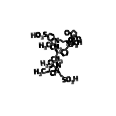 C\C=C(Cl)/C=C1\C(=N\CCCS(=O)(=O)O)N=C(/C=C/C(=C/C=C2/N(CCCS(=O)(=O)O)c3ccc(S(=O)(=O)O)cc3C2(C)C)c2cccc(CCC(=O)ON3C(=O)CCC3=O)c2)C1(C)C